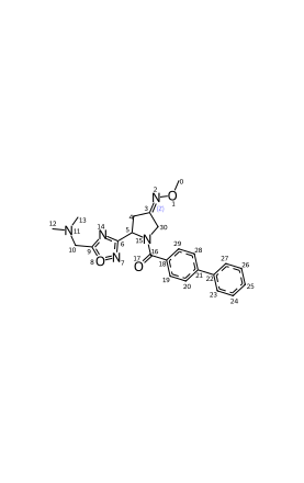 CO/N=C1/CC(c2noc(CN(C)C)n2)N(C(=O)c2ccc(-c3ccccc3)cc2)C1